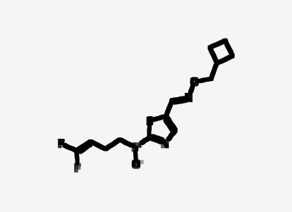 [O-][S+](CCC=C(F)F)c1ncc(C=NOCC2CCC2)s1